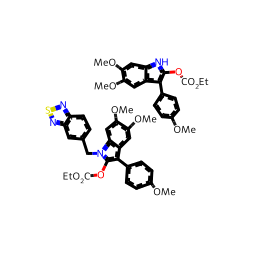 CCOC(=O)Oc1[nH]c2cc(OC)c(OC)cc2c1-c1ccc(OC)cc1.CCOC(=O)Oc1c(-c2ccc(OC)cc2)c2cc(OC)c(OC)cc2n1Cc1ccc2nsnc2c1